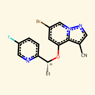 CC[C@@H](Oc1cc(Br)cn2ncc(C#N)c12)c1ccc(F)cn1